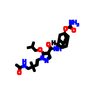 CC(=O)NCC(C)(C)/C=C/n1ncc(C(=O)N[C@H]2C3CC4CC2C[C@](OC(N)=O)(C4)C3)c1OCC(C)C